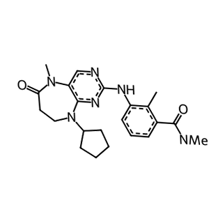 CNC(=O)c1cccc(Nc2ncc3c(n2)N(C2CCCC2)CCC(=O)N3C)c1C